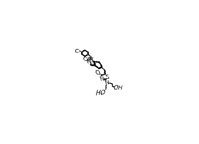 O=C1N=C(N(CCO)CCO)SC1=Cc1ccc2c(cnn2Cc2ccc(Cl)cc2C(F)(F)F)c1